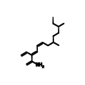 C=C/C(=C\C=C/CC(C)CCC(C)CC)C(=C)N